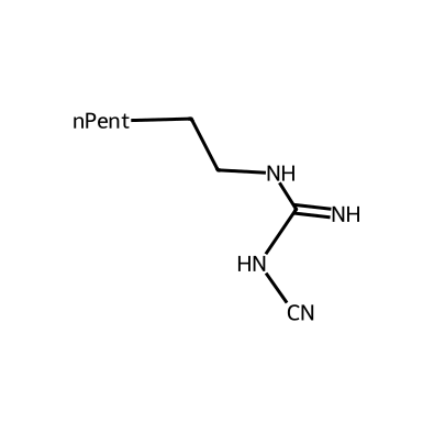 CCCCCCCNC(=N)NC#N